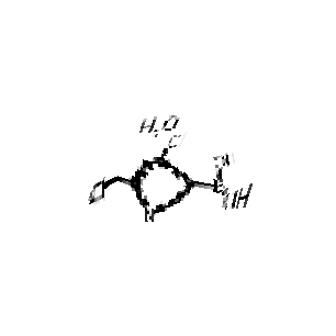 O.OB(O)c1cnc(Cl)cc1Cl